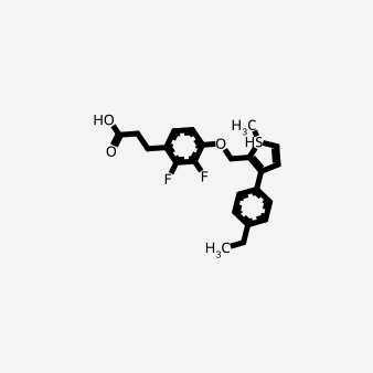 CCc1ccc(C2=C(COc3ccc(CCC(=O)O)c(F)c3F)[SH](C)C=C2)cc1